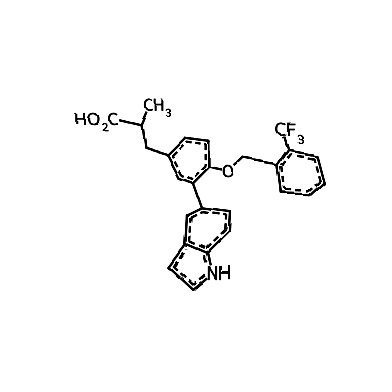 CC(Cc1ccc(OCc2ccccc2C(F)(F)F)c(-c2ccc3[nH]ccc3c2)c1)C(=O)O